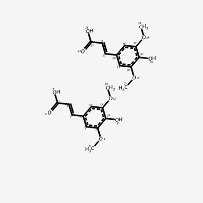 COc1cc(/C=C/C(=O)O)cc(OC)c1O.COc1cc(/C=C/C(=O)O)cc(OC)c1O